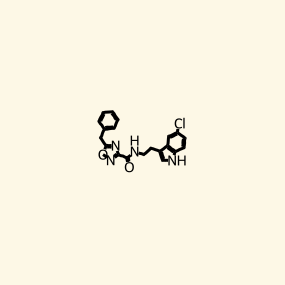 O=C(NCCc1c[nH]c2ccc(Cl)cc12)c1noc(Cc2ccccc2)n1